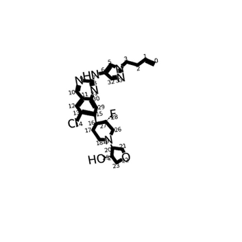 C=CCCn1cc(Nc2ncc3cc(Cl)c([C@@H]4CCN([C@@H]5COC[C@@H]5O)C[C@H]4F)cc3n2)cn1